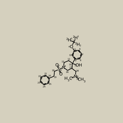 [2H]C([2H])([2H])Oc1cccc(C2(O)CCN(S(=O)(=O)CCc3ccccc3)CC2CN(C)C)c1